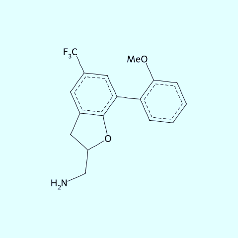 COc1ccccc1-c1cc(C(F)(F)F)cc2c1OC(CN)C2